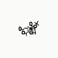 COC1CC(C)(NC(=O)OC(C)(C)C)C(O)C(C)O1